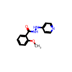 COc1ccccc1C(=O)NNc1ccncc1